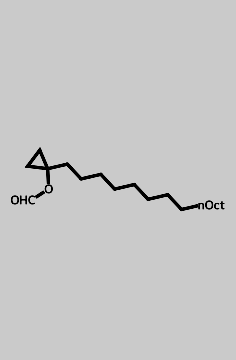 CCCCCCCCCCCCCCCCC1(OC=O)CC1